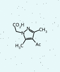 CC(=O)c1c(C)nn(CC(=O)O)c1C